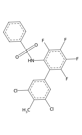 Cc1c(Cl)cc(-c2c(F)c(F)c(F)c(F)c2NS(=O)(=O)c2ccccc2)cc1Cl